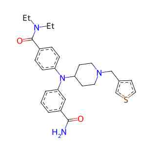 CCN(CC)C(=O)c1ccc(N(c2cccc(C(N)=O)c2)C2CCN(Cc3ccsc3)CC2)cc1